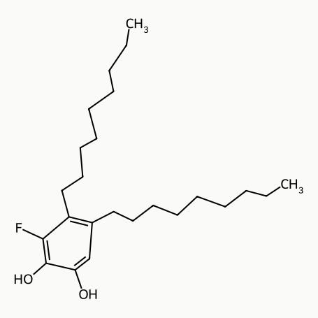 CCCCCCCCCc1cc(O)c(O)c(F)c1CCCCCCCCC